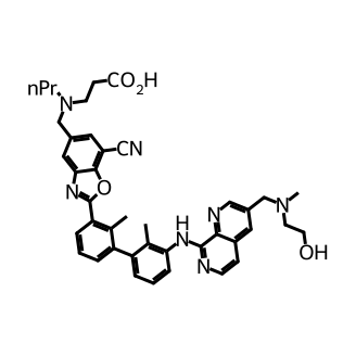 CCCN(CCC(=O)O)Cc1cc(C#N)c2oc(-c3cccc(-c4cccc(Nc5nccc6cc(CN(C)CCO)cnc56)c4C)c3C)nc2c1